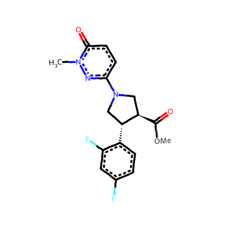 COC(=O)[C@@H]1CN(c2ccc(=O)n(C)n2)C[C@H]1c1ccc(F)cc1F